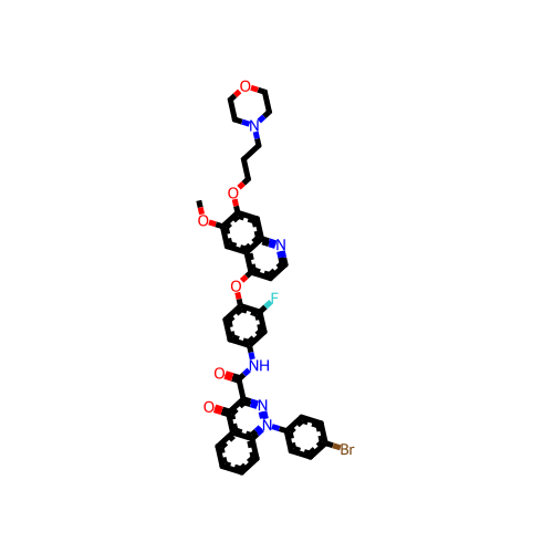 COc1cc2c(Oc3ccc(NC(=O)c4nn(-c5ccc(Br)cc5)c5ccccc5c4=O)cc3F)ccnc2cc1OCCCN1CCOCC1